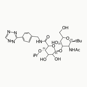 CC(=O)NC1C(O[C@@H]2OC(C(=O)NCc3ccc(-c4nncnn4)cc3)[C@@H](OC(C)C)C(O)C2O)[C@H](O)C(CO)O[C@H]1C(C)(C)C